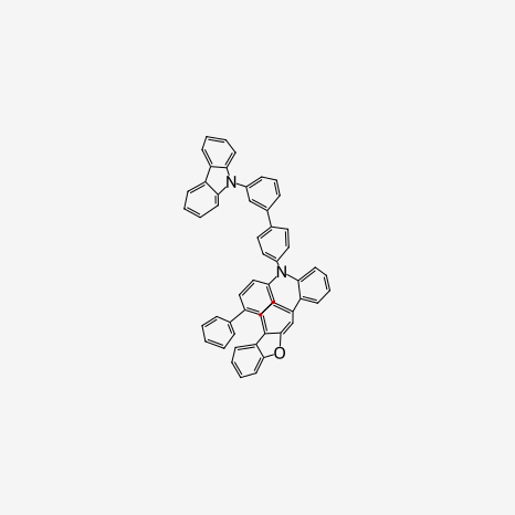 c1ccc(-c2ccc(N(c3ccc(-c4cccc(-n5c6ccccc6c6ccccc65)c4)cc3)c3ccccc3-c3ccc4c(c3)oc3ccccc34)cc2)cc1